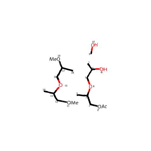 CC(=O)OCC(C)OCC(C)O.CO.COCC(C)OCC(C)OC